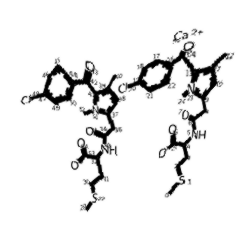 CSCCC(NC(=O)Cc1cc(C)c(C(=O)c2ccc(Cl)cc2)n1C)C(=O)[O-].CSCCC(NC(=O)Cc1cc(C)c(C(=O)c2ccc(Cl)cc2)n1C)C(=O)[O-].[Ca+2]